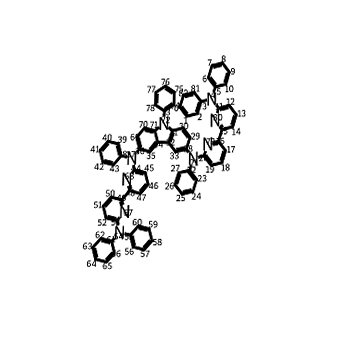 c1ccc(N(c2ccccc2)c2cccc(-c3cccc(N(c4ccccc4)c4ccc5c(c4)c4cc(N(c6ccccc6)c6cccc(-c7cccc(N(c8ccccc8)c8ccccc8)n7)n6)ccc4n5-c4ccccc4)n3)n2)cc1